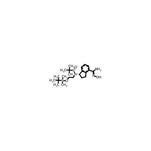 CC(C)(C)[S@+]([O-])N(CCO[Si](C)(C)C(C)(C)C)[C@H]1CCc2c(C(N)=NO)cccc21